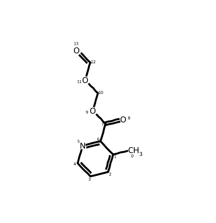 Cc1cccnc1C(=O)OCOC=O